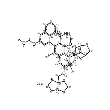 COCOc1cc(-c2c(C(N)=O)c(OC)c3c(N4CC5CCC(C4)N5C(=O)OC(C)(C)C)nc(OC[C@@]45CCCN4C[C@H](F)C5)nc3c2F)c2c(F)cccc2c1